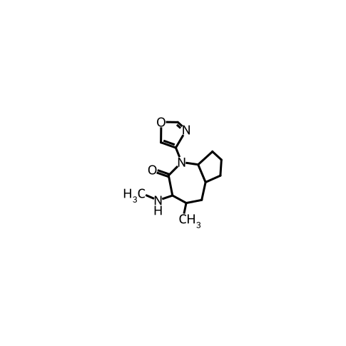 CNC1C(=O)N(c2cocn2)C2CCCC2CC1C